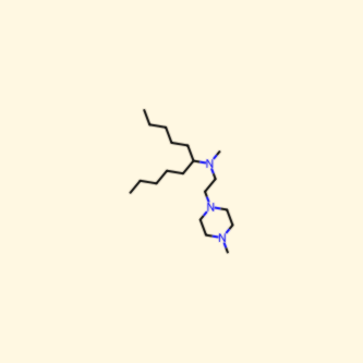 CCCCCC(CCCCC)N(C)CCN1CCN(C)CC1